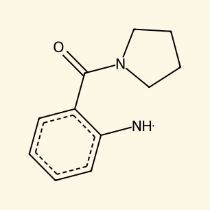 [NH]c1ccccc1C(=O)N1CCCC1